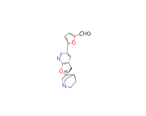 O=Cc1ccc(-c2cnc3c(c2)C[C@@]2(CN4CCC2CC4)O3)o1